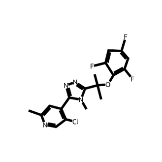 Cc1cc(-c2nnc(C(C)(C)Oc3c(F)cc(F)cc3F)n2C)c(Cl)cn1